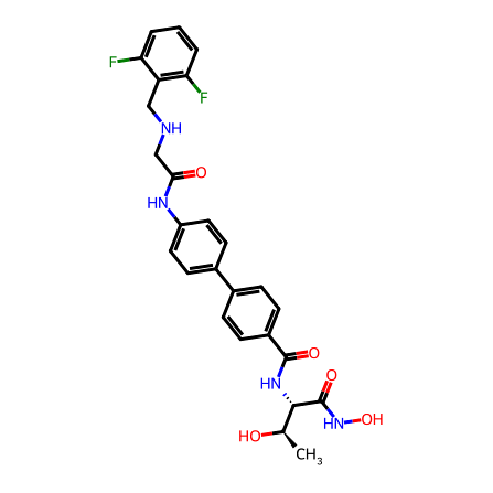 C[C@@H](O)[C@H](NC(=O)c1ccc(-c2ccc(NC(=O)CNCc3c(F)cccc3F)cc2)cc1)C(=O)NO